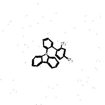 FC(F)(F)c1ccc(-c2ccccc2-n2c3ccccc3c3ccccc32)c(C(F)(F)F)c1